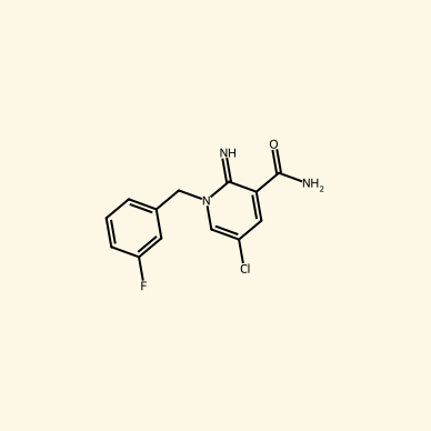 N=c1c(C(N)=O)cc(Cl)cn1Cc1cccc(F)c1